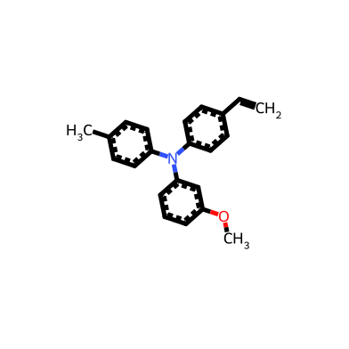 C=Cc1ccc(N(c2ccc(C)cc2)c2cccc(OC)c2)cc1